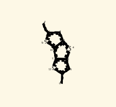 Cc1cc2sc3cc(C)sc3c2s1